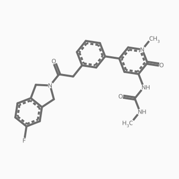 CNC(=O)Nc1cc(-c2cccc(CC(=O)N3Cc4ccc(F)cc4C3)c2)cn(C)c1=O